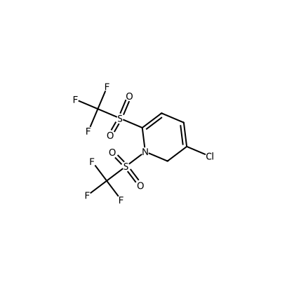 O=S(=O)(C1=CC=C(Cl)CN1S(=O)(=O)C(F)(F)F)C(F)(F)F